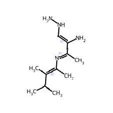 CC(=N\C(C)=C(/C)C(C)C)/C(N)=C/NN